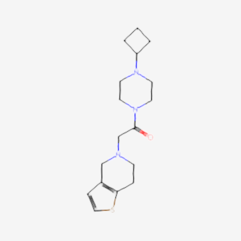 O=C(CN1CCc2sccc2C1)N1CCN(C2CCC2)CC1